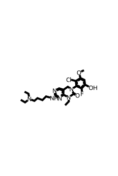 CCN(CC)CCCCNc1ncc2c(n1)N(CC)C(=O)N(c1c(F)c(O)cc(OC)c1Cl)C2